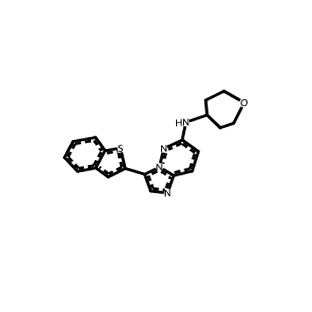 c1ccc2sc(-c3cnc4ccc(NC5CCOCC5)nn34)cc2c1